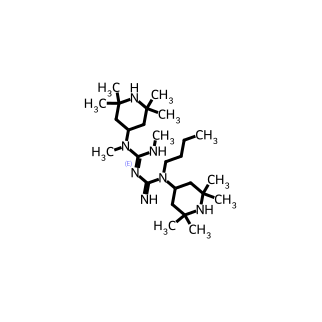 CCCCN(C(=N)/N=C(\NC)N(C)C1CC(C)(C)NC(C)(C)C1)C1CC(C)(C)NC(C)(C)C1